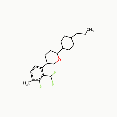 CCCC1CCC(C2CCC(c3ccc(C)c(F)c3C(F)F)CO2)CC1